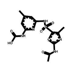 CC(=O)Nc1nc(C)c(S(=O)(=O)Nc2cc(C)cc(NC(=O)O)n2)s1